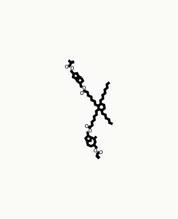 C=CC(=O)OCC1CCC2CC(COC(=O)CCCCCCC3C(CCCCCC)CCC(CCCCCCCC)C3CCCCCCC(=O)OCC3CC4CC3C3CC(COC(=O)C(=C)C)CC43)C(C2)C(C)C1